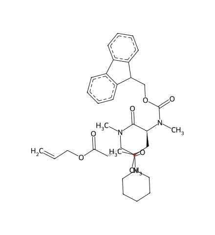 C=CCOC(=O)C[C@@H](C(=O)N1CCCCC1)N(C)C(=O)[C@H](CC(C)C)N(C)C(=O)OCC1c2ccccc2-c2ccccc21